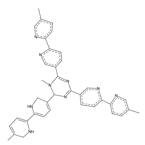 CC1=CC=C(C2=CC=C(C3N=C(c4ccc(-c5ccc(C)cn5)nc4)N=C(c4ccc(-c5ccc(C)cn5)nc4)N3C)CN2)NC1